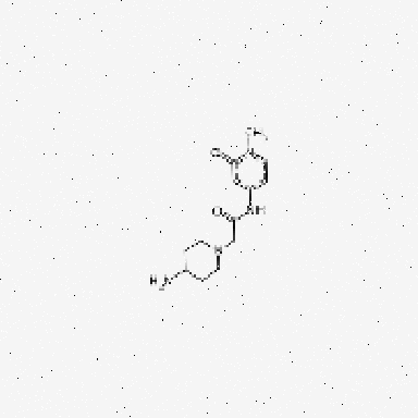 Cn1ccc(NC(=O)CN2CCC(N)CC2)cc1=O